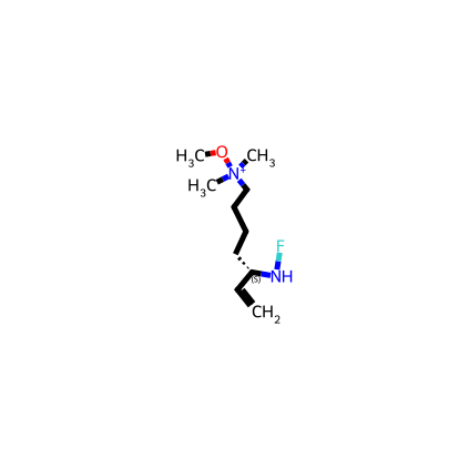 C=C[C@H](CCCC[N+](C)(C)OC)NF